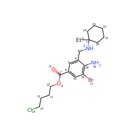 CCC1(NCc2cc(C(=O)OCCCCCl)cc(Br)c2N)CCCCC1